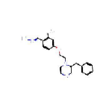 COc1cc(OCCN2CCNCC2Cc2ccccc2)ccc1C=NN